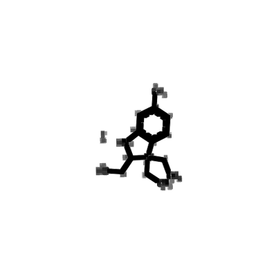 CC[N+]1(CC)c2ccc(C)cc2NC1CO.[I-]